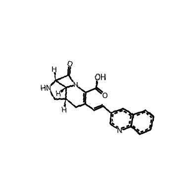 O=C(O)C1=C(/C=C/c2cnc3ccccc3c2)C[C@@H]2CN[C@@H]3C(=O)N1[C@H]23